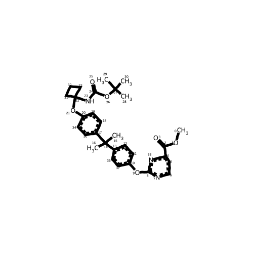 COC(=O)c1ccnc(Oc2ccc(C(C)(C)c3ccc(OC4(NC(=O)OC(C)(C)C)CCC4)cc3)cc2)n1